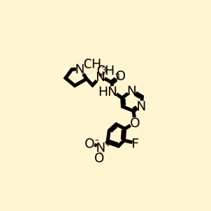 CN(CC1CCCN1C)C(=O)Nc1cc(Oc2ccc([N+](=O)[O-])cc2F)ncn1